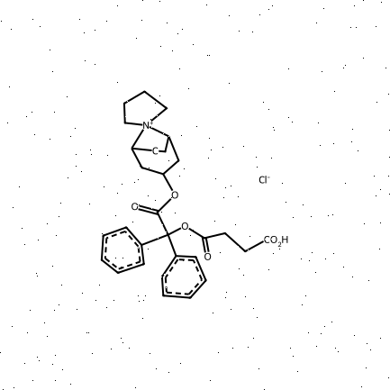 O=C(O)CCC(=O)OC(C(=O)OC1CC2CCC(C1)[N+]21CCCC1)(c1ccccc1)c1ccccc1.[Cl-]